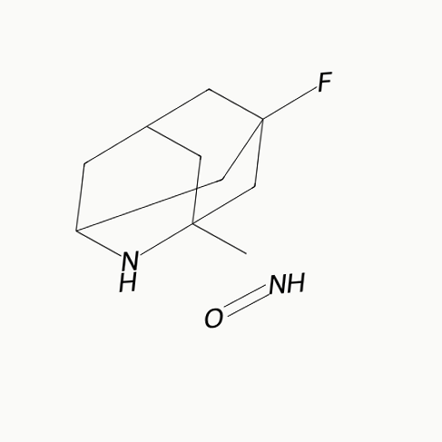 CC12CC3CC(CC(F)(C3)C1)N2.N=O